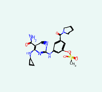 CS(=O)(=O)Oc1cc(Nc2ncc(C(N)=O)c(NC3CC3)n2)cc(C(=O)N2CCCC2)c1